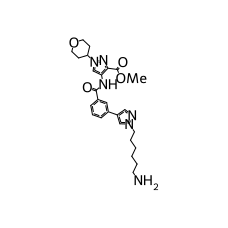 COC(=O)c1nn(C2CCOCC2)cc1NC(=O)c1cccc(-c2cnn(CCCCCCN)c2)c1